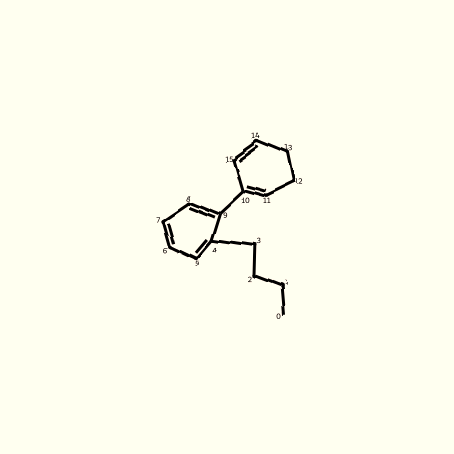 CCCCc1ccccc1C1=CCCC=C1